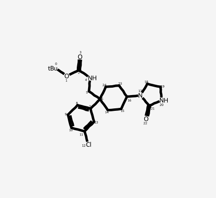 CC(C)(C)OC(=O)NCC1(c2cccc(Cl)c2)CCC(N2CCNC2=O)CC1